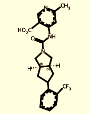 Cc1cc(NC(=O)N2C[C@H]3CC(c4ccccc4C(F)(F)F)C[C@H]3C2)c(C(=O)O)cn1